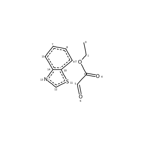 CCOC(=O)C=O.c1ccc2scnc2c1